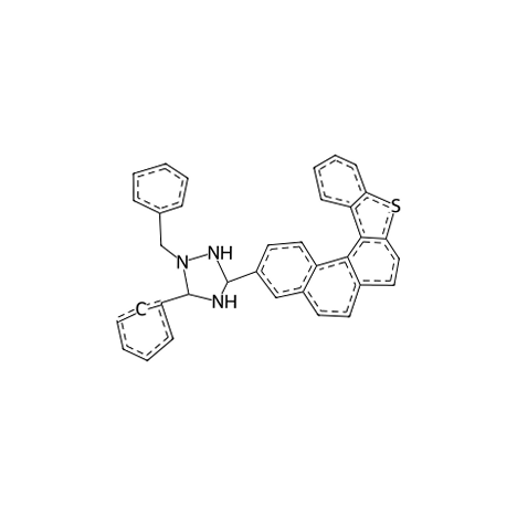 c1ccc(CN2NC(c3ccc4c(ccc5ccc6sc7ccccc7c6c54)c3)NC2c2ccccc2)cc1